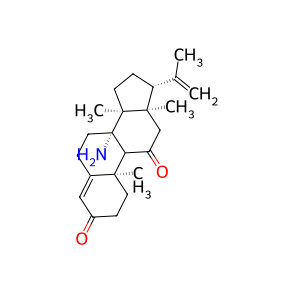 C=C(C)[C@H]1CC[C@]2(C)[C@]3(N)CCC4=CC(=O)CC[C@]4(C)C3C(=O)C[C@]12C